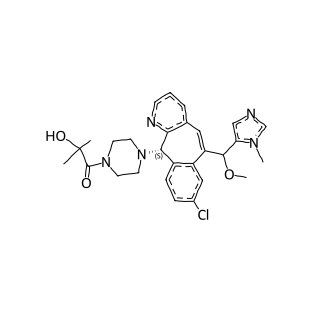 COC(C1=Cc2cccnc2[C@@H](N2CCN(C(=O)C(C)(C)O)CC2)c2ccc(Cl)cc21)c1cncn1C